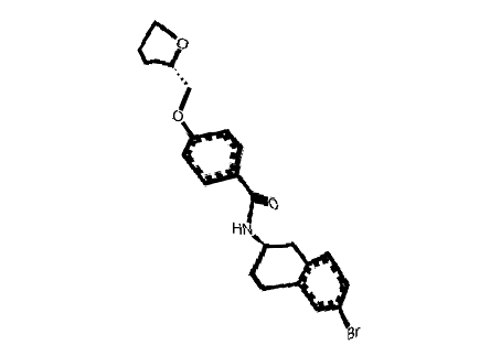 O=C(N[C@@H]1CCc2cc(Br)ccc2C1)c1ccc(OC[C@@H]2CCCO2)cc1